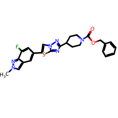 Cn1cc2cc(-c3cn4nc(C5CCN(C(=O)OCc6ccccc6)CC5)nc4s3)cc(F)c2n1